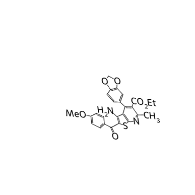 CCOC(=O)c1c(C)nc2sc(C(=O)c3ccc(OC)cc3)c(N)c2c1-c1ccc2c(c1)OCO2